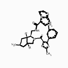 Cc1cccc(-c2sc(C)nc2C(=O)N2C[C@@H]3CC(C)C[C@@H]3[C@H]2CNC(=O)c2cnc3sccn23)c1